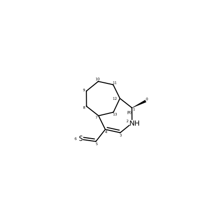 C[C@H]1NC=C(C=S)C2CCCCC1C2